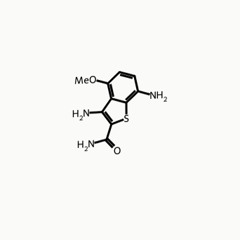 COc1ccc(N)c2sc(C(N)=O)c(N)c12